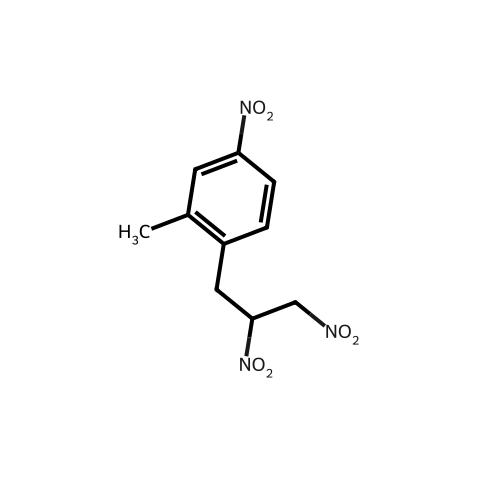 Cc1cc([N+](=O)[O-])ccc1CC(C[N+](=O)[O-])[N+](=O)[O-]